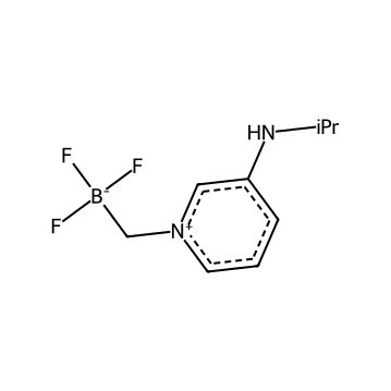 CC(C)Nc1ccc[n+](C[B-](F)(F)F)c1